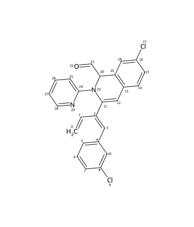 C=CC(=Cc1cccc(Cl)c1)C1=Cc2ccc(Cl)cc2C(C=O)N1c1ccccn1